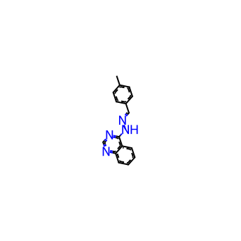 Cc1ccc(C=NNc2ncnc3ccccc23)cc1